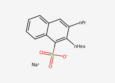 CCCCCCc1c(CCC)cc2ccccc2c1S(=O)(=O)[O-].[Na+]